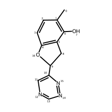 Cc1ccc2c(c1O)CC(c1cncnn1)O2